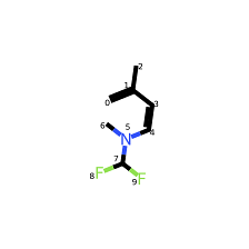 C=C(C)/C=C\N(C)C(F)F